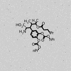 CCCOC(=O)Oc1ccc(C(C(C)C(C)OC(=O)CCC(C)C)[C@H](N)C(=O)O)cc1OC(=O)OCCC